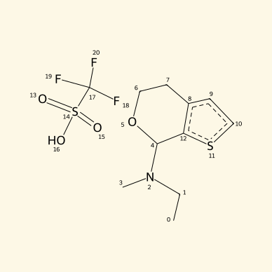 CCN(C)C1OCCc2ccsc21.O=S(=O)(O)C(F)(F)F